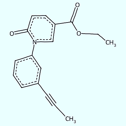 CC#Cc1cccc(-n2cc(C(=O)OCC)ccc2=O)c1